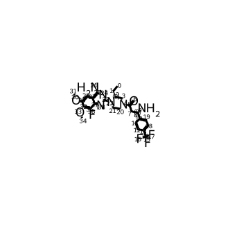 CC[C@H]1CN(C(=O)C[C@@H](N)c2ccc(C(F)(F)F)cc2)CCN1c1nc(N)c2cc(OC)c(OC)c(F)c2n1